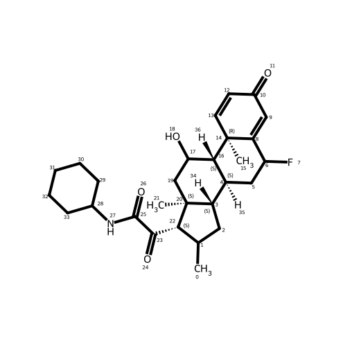 CC1C[C@H]2[C@@H]3CC(F)C4=CC(=O)C=C[C@]4(C)[C@H]3C(O)C[C@]2(C)[C@H]1C(=O)C(=O)NC1CCCCC1